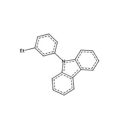 CCc1cccc(-n2c3ccccc3c3ccccc32)c1